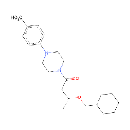 C[C@H](CC(=O)N1CCN(c2ccc(C(=O)O)cc2)CC1)OCC1CCCCC1